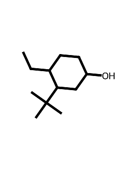 CCC1CCC(O)CC1C(C)(C)C